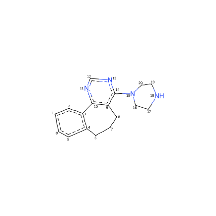 c1ccc2c(c1)CCCc1c-2ncnc1N1CCNCC1